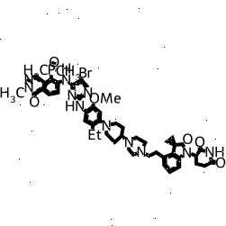 CCc1cc(Nc2ncc(Br)c(Nc3ccc4c(=O)n(C)ncc4c3P(C)(C)=O)n2)c(OC)cc1N1CCC(N2CCN(CCc3cccc4c3C3(CC3)C(=O)N4C3CCC(=O)NC3=O)CC2)CC1